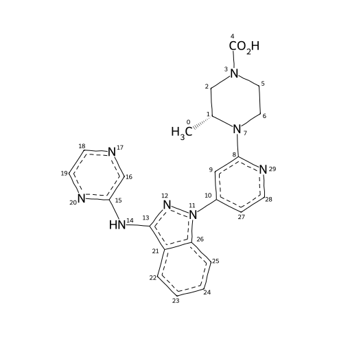 C[C@@H]1CN(C(=O)O)CCN1c1cc(-n2nc(Nc3cnccn3)c3ccccc32)ccn1